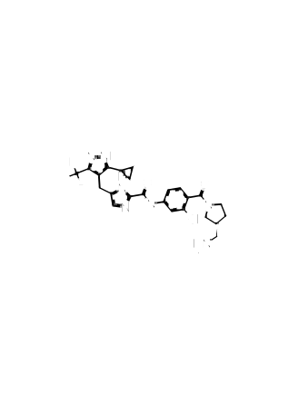 NC[C@@H]1CCN(C(=O)c2ccc(NC(=O)c3ncc(Cc4c(C(F)(F)F)n[nH]c4C4CC4)[nH]3)cc2Cl)C1